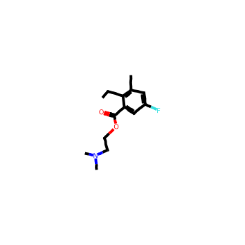 CCc1c(C)cc(F)cc1C(=O)OCCN(C)C